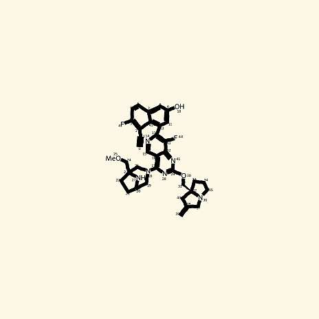 C#Cc1c(F)ccc2cc(O)cc(-c3ncc4c(N5CC6CCC(COC)(C5)N6)nc(OC[C@@]56CCCN5CC(=C)C6)nc4c3F)c12